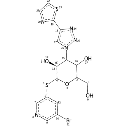 OCC1OC(Sc2cncc(Br)c2)[C@@H](O)C(n2cc(-c3nccs3)nn2)C1O